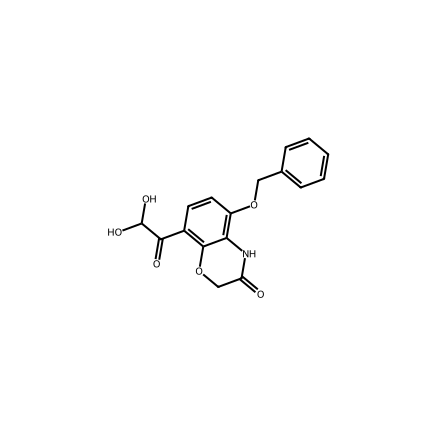 O=C1COc2c(C(=O)C(O)O)ccc(OCc3ccccc3)c2N1